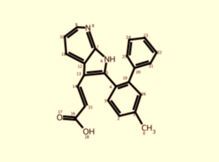 Cc1ccc(-c2[nH]c3ncccc3c2C=CC(=O)O)c(-c2ccccc2)c1